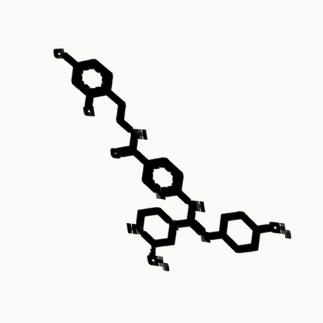 CC1CCC(/N=C(\Nc2ccc(C(=O)NCCc3ccc(Cl)cc3Cl)cn2)N2CCN[C@@H](C)C2)CC1